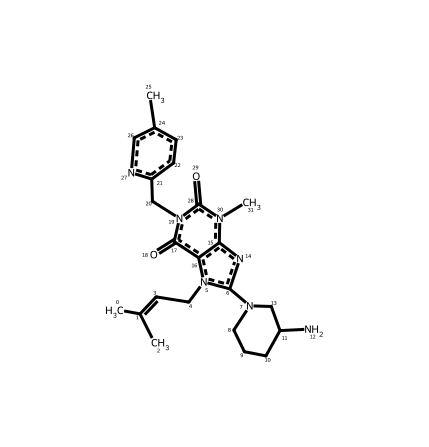 CC(C)=CCn1c(N2CCCC(N)C2)nc2c1c(=O)n(Cc1ccc(C)cn1)c(=O)n2C